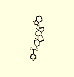 C[C@]12CC[C@H](OC(=O)c3ccncc3)CC1=CCC1C2CC[C@]2(C)C(n3cnc4ccccc43)=CCC12